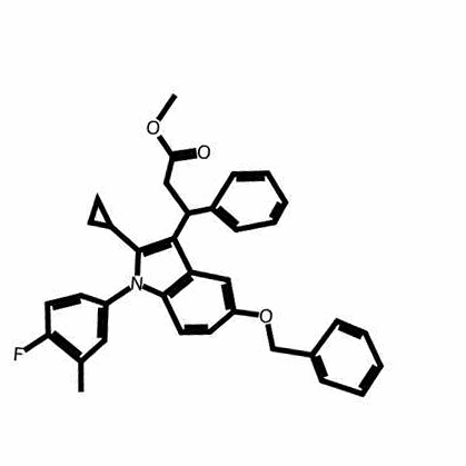 COC(=O)CC(c1ccccc1)c1c(C2CC2)n(-c2ccc(F)c(C)c2)c2ccc(OCc3ccccc3)cc12